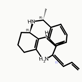 C=C/C=C(/N)C(C)NC1=C(C)CCC[C@H]1N[C@H](C)c1ccccc1